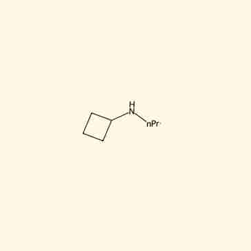 CC[CH]NC1CCC1